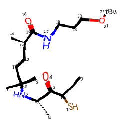 CC(S)C(=O)[C@H](C)NC(C)(C)CC[C@@H](C)C(=O)NCCCOC(C)(C)C